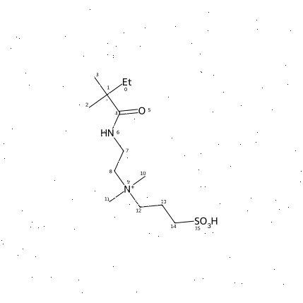 CCC(C)(C)C(=O)NCC[N+](C)(C)CCCS(=O)(=O)O